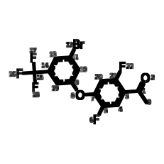 CC(=O)c1cc(F)c(Oc2cc(Br)cc(C(F)(F)F)c2)cc1F